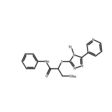 CCn1c(SC(COC)C(=O)Nc2ccccc2)nnc1-c1cccnc1